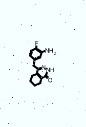 Nc1cc(Cc2n[nH]c(=O)c3c2CCCC3)ccc1F